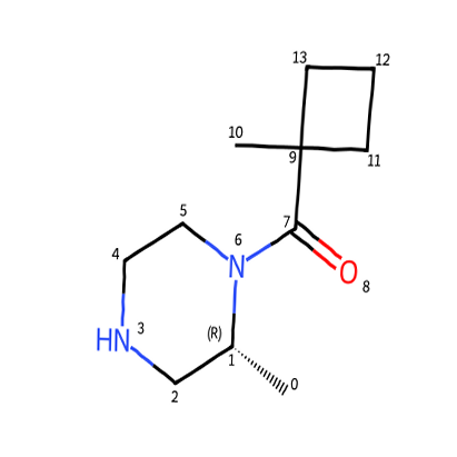 C[C@@H]1CNCCN1C(=O)C1(C)CCC1